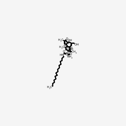 CCCCCCCCCCCCCCCCCCNC(=O)O[C@@H]1[C@@H](C)[C@@]2(O)[C@@H](C=C(CO)C[C@]3(O)C(=O)C(C)=C[C@@H]23)[C@H]2C(C)(C)[C@]12OC(N)=O